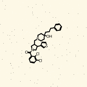 O=C(c1cccc(Cl)c1Cl)N1CC(CN2CCC(O)(CCCc3ccccc3)CC2)C(c2ccsc2)C1